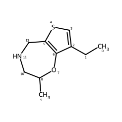 CCc1csc2c1OC(C)CNC2